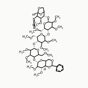 COCC1O[C@@H](O[C@H]2C(OC)C(OC)[C@@H](O[C@H]3C(OC)C(OC)[C@H](O[C@H]4C5CO[C@H](O5)C(N=[N+]=[N-])[C@@H]4OC)O[C@H]3COC)O[C@H]2COC)C(OC)[C@H](OC)[C@@H]1O[C@@H]1OC2COC(c3ccccc3)O[C@H]2[C@H](OC)C1OC